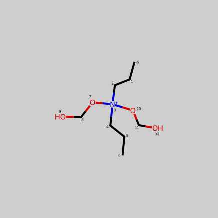 CCC[N+](CCC)(OCO)OCO